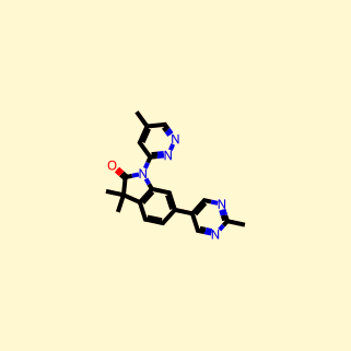 Cc1cnnc(N2C(=O)C(C)(C)c3ccc(-c4cnc(C)nc4)cc32)c1